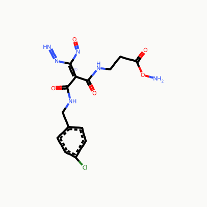 N=N/C(N=O)=C(/C(=O)NCCC(=O)ON)C(=O)NCc1ccc(Cl)cc1